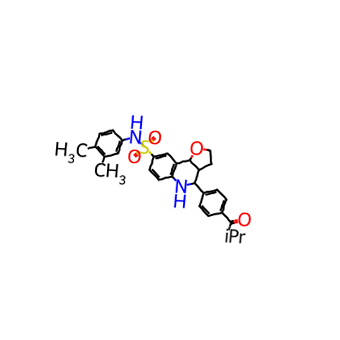 Cc1ccc(NS(=O)(=O)c2ccc3c(c2)C2OCCC2C(c2ccc(C(=O)C(C)C)cc2)N3)cc1C